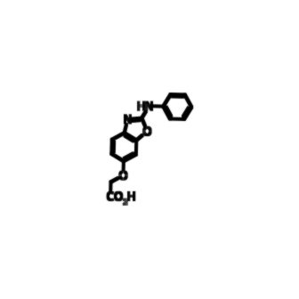 O=C(O)COc1ccc2nc(Nc3ccccc3)oc2c1